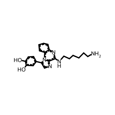 NCCCCCCNc1nc2ccccc2n2c(-c3ccc(O)c(O)c3)cnc12